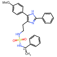 COc1ccc(-c2[nH]c(-c3ccccc3)nc2CCNS(=O)(=O)N[C@H](C)c2ccccc2)cc1